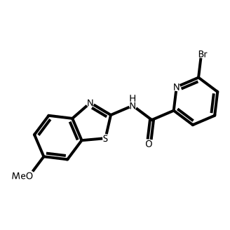 COc1ccc2nc(NC(=O)c3cccc(Br)n3)sc2c1